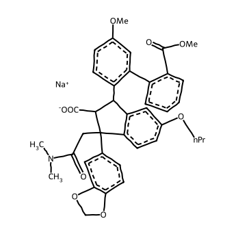 CCCOc1ccc2c(c1)C(c1ccc(OC)cc1-c1ccccc1C(=O)OC)C(C(=O)[O-])C2(CC(=O)N(C)C)c1ccc2c(c1)OCO2.[Na+]